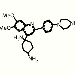 COc1cc2nc(-c3ccc(N4CCNCC4)cc3)cc(C3(N)CCC(N)CC3)c2cc1OC